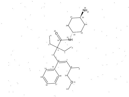 CCC(CC)(C/C(=C/C(C)COC)c1ccccc1)C(=O)N[C@H]1CC[C@H](N)CC1